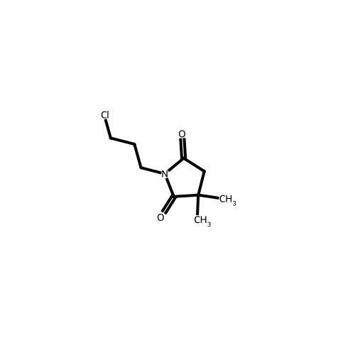 CC1(C)CC(=O)N(CCCCl)C1=O